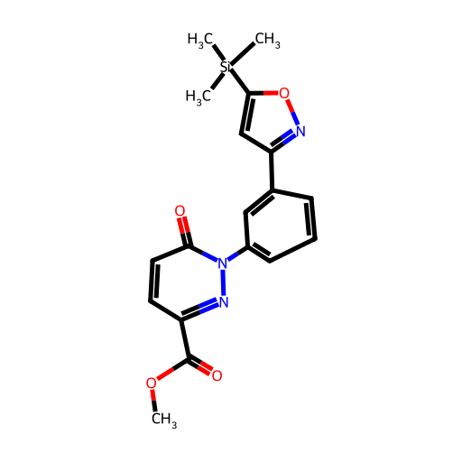 COC(=O)c1ccc(=O)n(-c2cccc(-c3cc([Si](C)(C)C)on3)c2)n1